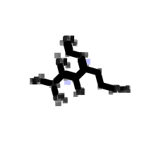 C=C/N=C(CCC(C)CCC)\C(CC)=C(/C)N(C)CCC